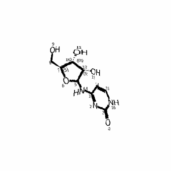 O=c1nc(NC2O[C@@H](CO)[C@H](O)[C@@H]2O)cc[nH]1